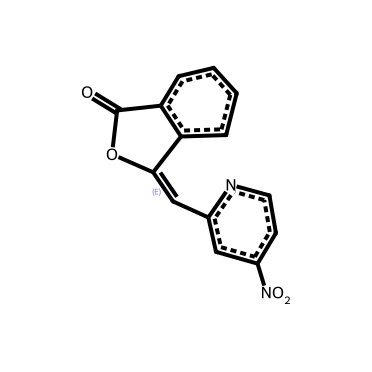 O=C1O/C(=C/c2cc([N+](=O)[O-])ccn2)c2ccccc21